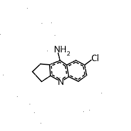 Nc1c2c(nc3ccc(Cl)cc13)CCC2